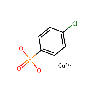 O=P([O-])([O-])c1ccc(Cl)cc1.[Cu+2]